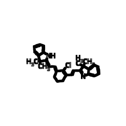 CC1(C)C(C=CC2=C(Cl)C(=CC=C3Nc4ccccc4C3(C)C)CCC2)=Nc2ccccc21